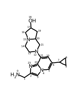 NCc1cn2cc(C3CC3)cc(N3CCN4CC(O)CC4C3)c2n1